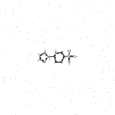 O=S(=O)(Cl)c1ccc(-n2nccn2)nc1